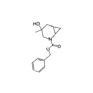 CC1(O)CC2CC2N(C(=O)OCc2ccccc2)C1